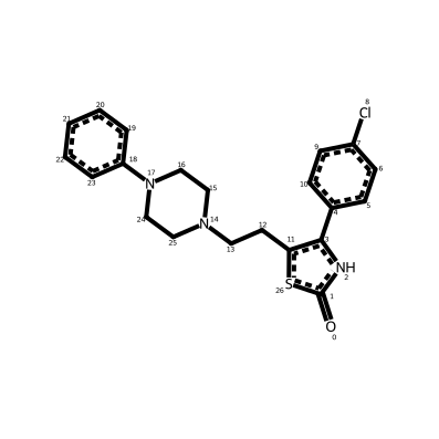 O=c1[nH]c(-c2ccc(Cl)cc2)c(CCN2CCN(c3ccccc3)CC2)s1